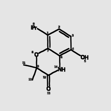 CC(C)c1ccc(O)c2c1OC(C)(C)C(=O)N2